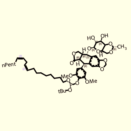 CCCCC/C=C\C/C=C\CCCCCCCCOP(Oc1c(OC)cc([C@@H]2c3cc4c(cc3[C@@H](O[C@@H]3O[C@@H]5CO[C@@H](C)OC5[C@H](O)[C@H]3O)[C@H]3COC(=O)[C@H]23)OCO4)cc1OC)OC(C)(C)C